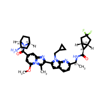 COc1cc(C(=O)N2[C@H]3CC[C@@H]2[C@H](N)C3)cc2nc(-c3cc4ccc([C@@H](C)NC(=O)[C@H]5[C@@H]6CC(F)(F)C[C@@H]65)nc4n3CC3CC3)c(C)n12